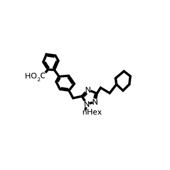 CCCCCCn1nc(CCC2CCCCC2)nc1Cc1ccc(-c2ccccc2C(=O)O)cc1